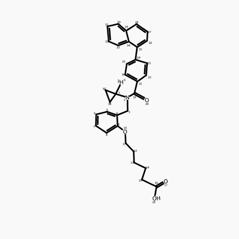 [2H]C1(N(Cc2ccccc2OCCCCCC(=O)O)C(=O)c2ccc(-c3cccc4ccccc34)cc2)CC1